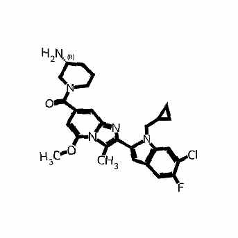 COc1cc(C(=O)N2CCC[C@@H](N)C2)cc2nc(-c3cc4cc(F)c(Cl)cc4n3CC3CC3)c(C)n12